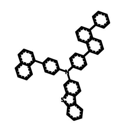 c1ccc(-c2cccc3c(-c4ccc(N(c5ccc(-c6cccc7ccccc67)cc5)c5ccc6c(c5)sc5ccccc56)cc4)cccc23)cc1